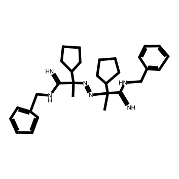 CC(N=NC(C)(C(=N)NCc1ccccc1)C1CCCC1)(C(=N)NCc1ccccc1)C1CCCC1